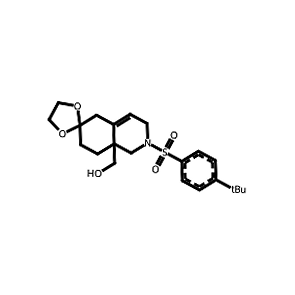 CC(C)(C)c1ccc(S(=O)(=O)N2CC=C3CC4(CCC3(CO)C2)OCCO4)cc1